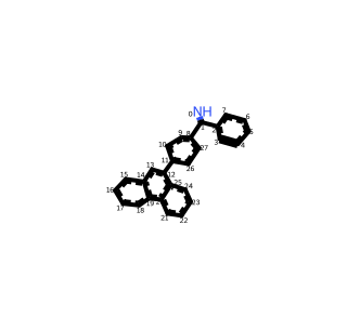 N=C(c1c#cccc1)c1ccc(-c2cc3ccccc3c3ccccc23)cc1